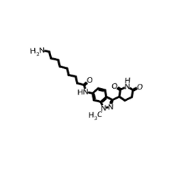 Cn1nc(C2CCC(=O)NC2=O)c2ccc(NC(=O)CCCCCCCCN)cc21